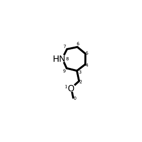 COCC1CCCCNC1